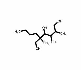 CCCCC(C)(CO)C(O)C(O)C(C)CO